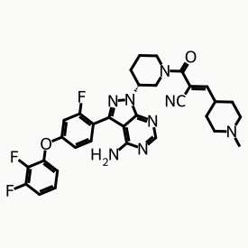 CN1CCC(/C=C(\C#N)C(=O)N2CCC[C@@H](n3nc(-c4ccc(Oc5cccc(F)c5F)cc4F)c4c(N)ncnc43)C2)CC1